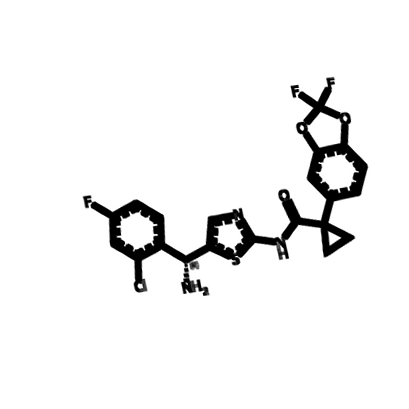 N[C@@H](c1cnc(NC(=O)C2(c3ccc4c(c3)OC(F)(F)O4)CC2)s1)c1ccc(F)cc1Cl